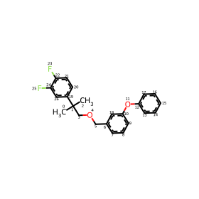 CC(C)(COCc1cccc(Oc2ccccc2)c1)c1ccc(F)c(F)c1